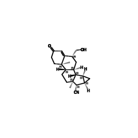 C[C@]12CC[C@H]3[C@@H](C[C@@H](CO)C4=CC(=O)CC[C@@]43C)[C@@H]1[C@H]1C[C@H]1[C@@H]2C#N